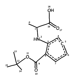 CC(Nc1ccccc1C(=O)OC(C)(C)C)C(=O)O